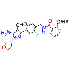 COc1ccccc1C(=O)NCc1ccc(-c2nn(C3CCOC3)c(N)c2C=O)cc1F